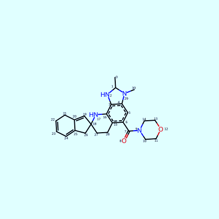 CC1Nc2c(cc(C(=O)N3CCOCC3)c3c2NC2(C=C4CC=CC=C4C2)CC3)N1C